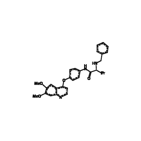 COc1cc2nccc(Oc3ccc(NC(=O)C(NCc4ccccc4)C(C)C)cc3)c2cc1OC